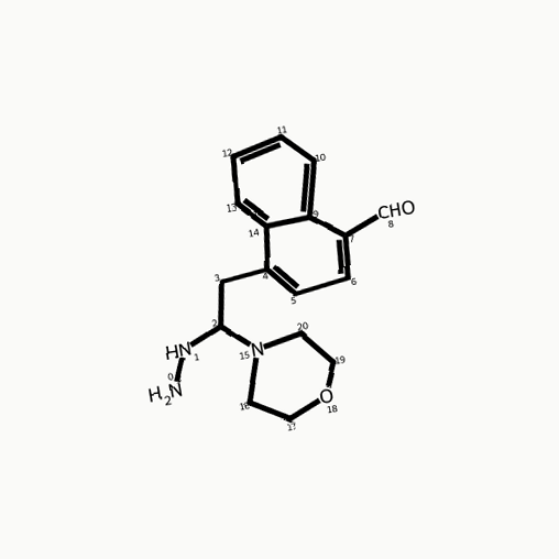 NNC(Cc1ccc(C=O)c2ccccc12)N1CCOCC1